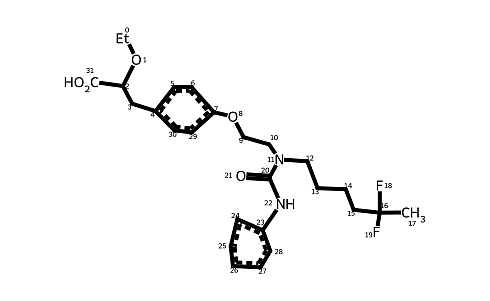 CCOC(Cc1ccc(OCCN(CCCCC(C)(F)F)C(=O)Nc2ccccc2)cc1)C(=O)O